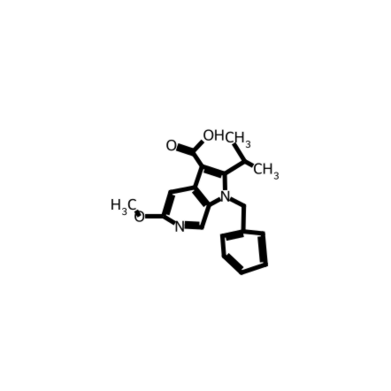 COc1cc2c(C(=O)O)c(C(C)C)n(Cc3ccccc3)c2cn1